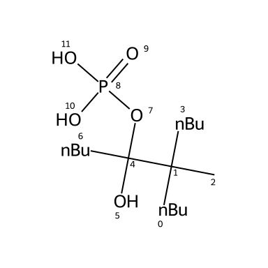 CCCCC(C)(CCCC)C(O)(CCCC)OP(=O)(O)O